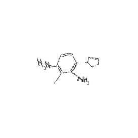 Cc1c(N)ccc(C2C=CCC2)c1N